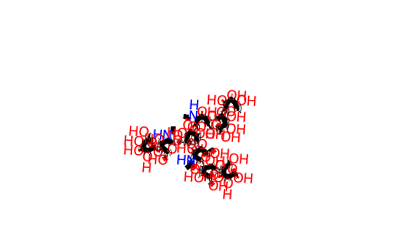 CC(=O)N[C@H]1[C@H](OC[C@H]2O[C@@H](O[C@H]3[C@H](O)[C@@H](NC(C)=O)[C@H](O[C@H]4[C@@H](O)[C@@H](CO)O[C@@H](O[C@H]5[C@H](O)[C@@H](O)[C@H](O)O[C@@H]5CO)[C@@H]4O)O[C@@H]3CO)[C@H](O)[C@@H](O[C@@H]3O[C@H](CO)[C@@H](O[C@@H]4O[C@H](CO)[C@H](O)[C@H](O)[C@H]4O[C@@H]4O[C@@H](C)[C@@H](O)[C@@H](O)[C@@H]4O)[C@H](O)[C@H]3NC(C)=O)[C@H]2O)O[C@H](CO)[C@@H](O[C@@H]2O[C@H](CO)[C@H](O)[C@H](O)[C@H]2O)[C@@H]1O